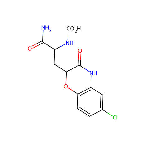 NC(=O)C(CC1Oc2ccc(Cl)cc2NC1=O)NC(=O)O